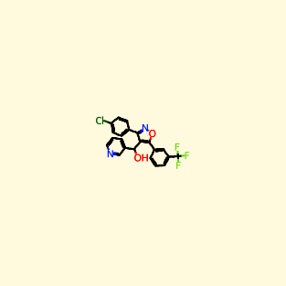 OC(c1cccnc1)c1c(-c2ccc(Cl)cc2)noc1-c1cccc(C(F)(F)F)c1